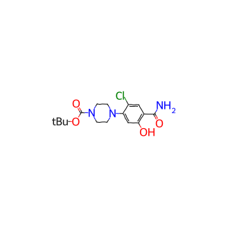 CC(C)(C)OC(=O)N1CCN(c2cc(O)c(C(N)=O)cc2Cl)CC1